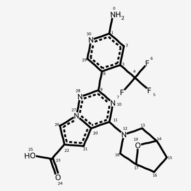 Nc1cc(C(F)(F)F)c(-c2nc(N3CC4CCC(C3)O4)c3cc(C(=O)O)cn3n2)cn1